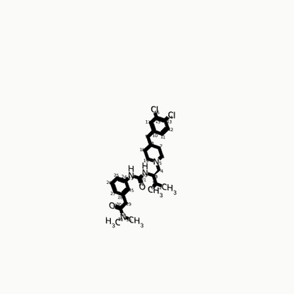 CC(C)[C@H](CN1CCC(Cc2ccc(Cl)c(Cl)c2)CC1)NC(=O)Nc1cccc(CC(=O)N(C)C)c1